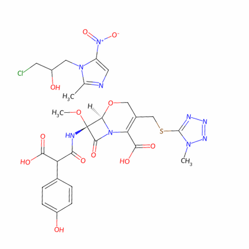 CO[C@@]1(NC(=O)C(C(=O)O)c2ccc(O)cc2)C(=O)N2C(C(=O)O)=C(CSc3nnnn3C)CO[C@@H]21.Cc1ncc([N+](=O)[O-])n1CC(O)CCl